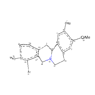 COc1cc2c(cc1OC)C1Cc3ccc(OC)c(C(C)=O)c3CN1CC2